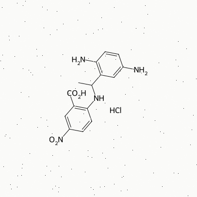 CC(Nc1ccc([N+](=O)[O-])cc1C(=O)O)c1cc(N)ccc1N.Cl